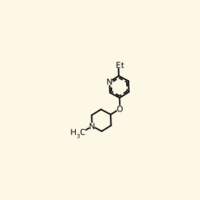 CCc1ccc(OC2CCN(C)CC2)cn1